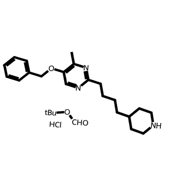 CC(C)(C)OC=O.Cc1nc(CCCCC2CCNCC2)ncc1OCc1ccccc1.Cl